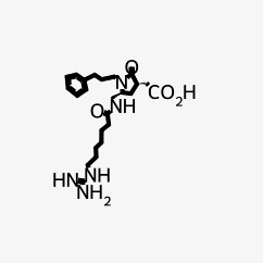 N=C(N)NCCCCCCC(=O)NC[C@@H]1C[C@@H](CC(=O)O)C(=O)N1CCCc1ccccc1